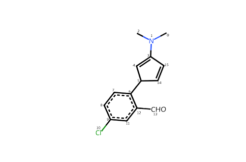 CN(C)C1=CC(c2ccc(Cl)cc2C=O)C=C1